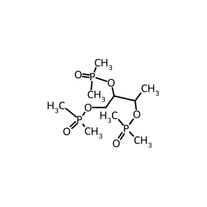 CC(OP(C)(C)=O)C(COP(C)(C)=O)OP(C)(C)=O